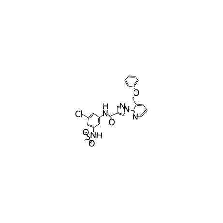 CS(=O)(=O)Nc1cc(Cl)cc(NC(=O)c2cnn(-c3ncccc3COc3ccccc3)c2)c1